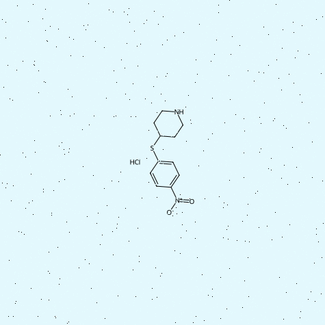 Cl.O=[N+]([O-])c1ccc(SC2CCNCC2)cc1